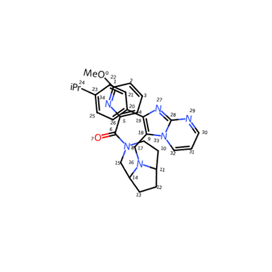 COc1cccc(C(=O)N2CCC3CCC(C2)N3Cc2c(-c3ccc(C(C)C)cc3)nc3ncccn23)n1